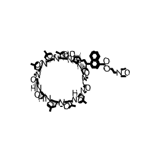 CC[C@@H]1NC(=O)[C@H]([C@H](O)[C@H](C)CC=Cc2ccc(C(=O)OCCN3CCOCC3)c3ccccc23)N(C)C(=O)[C@H](C(C)C)N(C)C(=O)[C@H](CC(C)C)N(C)C(=O)[C@H](CC(C)C)N(C)C(=O)[C@@H](C)NC(=O)[C@H](C)NC(=O)[C@H](CC(C)C)N(C)C(=O)[C@H](C(C)C)NC(=O)[C@H](CC(C)C)N(C)C(=O)CN(C)C1=O